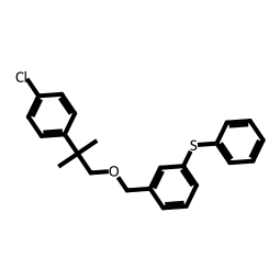 CC(C)(COCc1cccc(Sc2ccccc2)c1)c1ccc(Cl)cc1